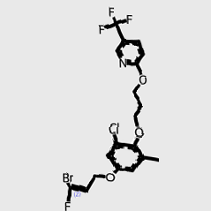 Cc1cc(OC/C=C(/F)Br)cc(Cl)c1OCCCOc1ccc(C(F)(F)F)cn1